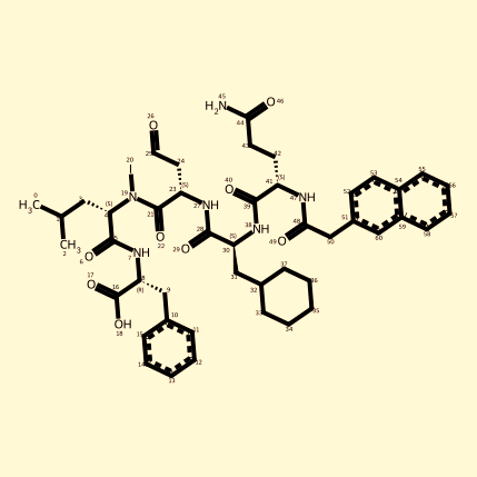 CC(C)C[C@@H](C(=O)N[C@H](Cc1ccccc1)C(=O)O)N(I)C(=O)[C@H](CC=O)NC(=O)[C@H](CC1CCCCC1)NC(=O)[C@H](CCC(N)=O)NC(=O)Cc1ccc2ccccc2c1